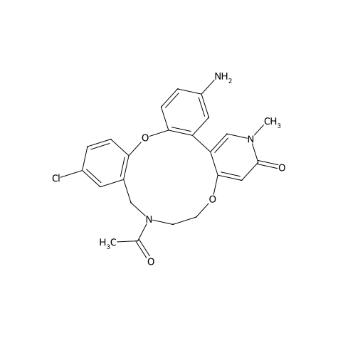 CC(=O)N1CCOc2cc(=O)n(C)cc2-c2cc(N)ccc2Oc2ccc(Cl)cc2C1